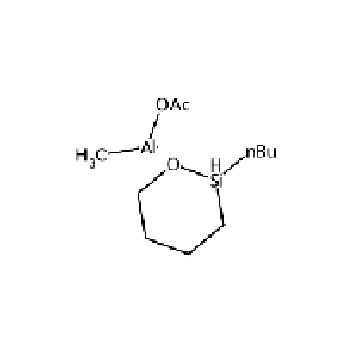 CCCC[SiH]1CCCCO1.[CH3][Al][O]C(C)=O